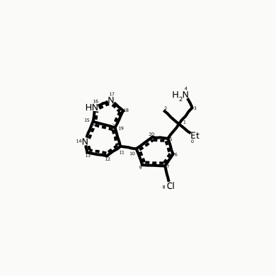 CCC(C)(CN)c1cc(Cl)cc(-c2ccnc3[nH]ncc23)c1